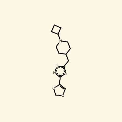 C1=C(c2noc(CC3CCN(C4CCC4)CC3)n2)OCO1